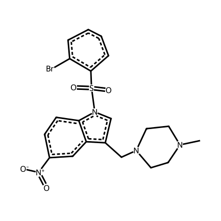 CN1CCN(Cc2cn(S(=O)(=O)c3ccccc3Br)c3ccc([N+](=O)[O-])cc23)CC1